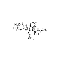 CCC[CH2][Sn]([CH2]CCC)([CH2]CCC)[c]1cccnc1CC(O)CCC